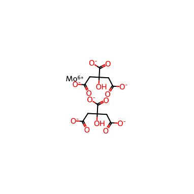 O=C([O-])CC(O)(CC(=O)[O-])C(=O)[O-].O=C([O-])CC(O)(CC(=O)[O-])C(=O)[O-].[Mo+6]